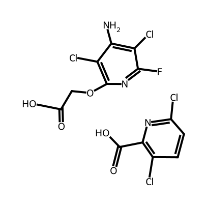 Nc1c(Cl)c(F)nc(OCC(=O)O)c1Cl.O=C(O)c1nc(Cl)ccc1Cl